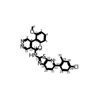 COc1ccccc1-c1cnncc1C(=O)Nc1nc2ccc(-c3ccc(Cl)cc3C)nc2s1